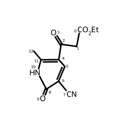 CCOC(=O)CC(=O)c1cc(C#N)c(=O)[nH]c1C